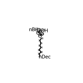 CCCCCCCCCCCCCCCCCCOOP(=O)(O)OCCCC